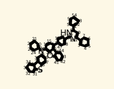 C1=C(c2ccccc2)N=C(c2ccc(-c3ccc(N(c4ccccc4)c4ccc5sc6ccccc6c5c4)c4oc5ccccc5c34)cc2)NC1c1ccccc1